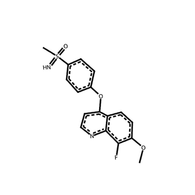 COc1ccc2c(Oc3ccc(S(C)(=N)=O)cc3)ccnc2c1F